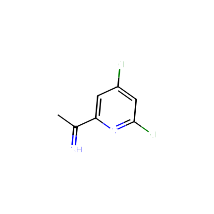 CC(=N)c1cc(Cl)cc(Cl)n1